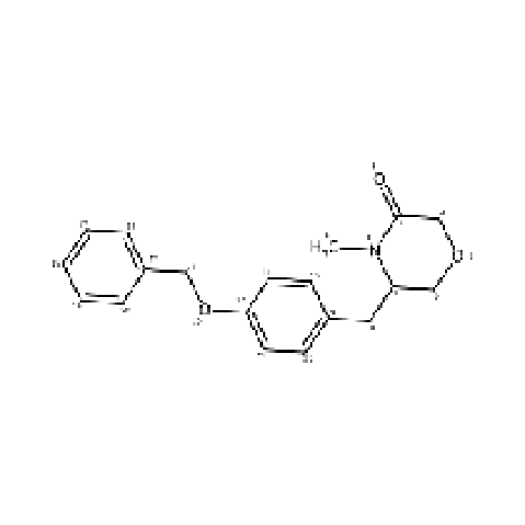 CN1C(=O)COCC1Cc1ccc(OCc2ccccc2)cc1